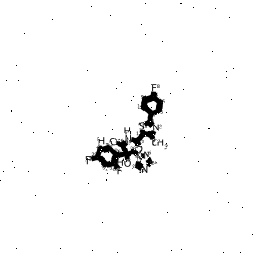 Cc1nc(-c2ccc(F)cc2)sc1C(=O)NC(C)C(O)(Cn1cncn1)c1ccc(F)cc1F